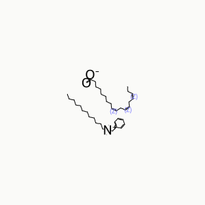 CC/C=C\C/C=C\C/C=C\CCCCCCCC(=O)[O-].CCCCCCCCCCCC[N+](C)(C)Cc1ccccc1